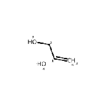 C=CCO.[OH]